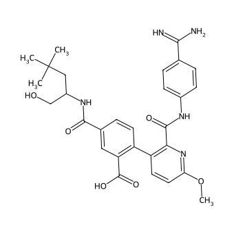 COc1ccc(-c2ccc(C(=O)NC(CO)CC(C)(C)C)cc2C(=O)O)c(C(=O)Nc2ccc(C(=N)N)cc2)n1